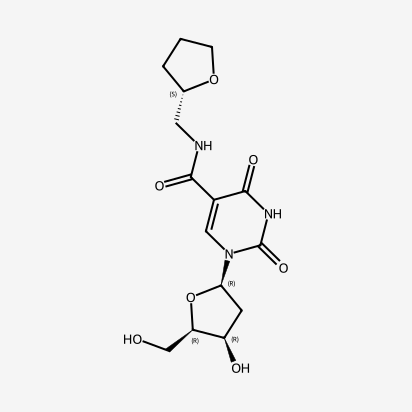 O=C(NC[C@@H]1CCCO1)c1cn([C@H]2C[C@@H](O)[C@@H](CO)O2)c(=O)[nH]c1=O